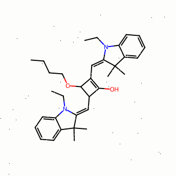 CCCCOC1C(C=C2N(CC)c3ccccc3C2(C)C)=C(O)C1C=C1N(CC)c2ccccc2C1(C)C